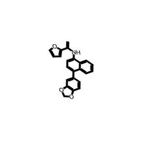 C=C(Nc1ccc(-c2ccc3c(c2)OCO3)c2ccccc12)c1ccco1